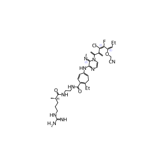 C=C(C(=C)n1ccnc(NC2=CCC(CC)=C(C(=O)NCCNC(=O)[C@H](C)CCCNC(=N)N)C=C2)/c1=N/C)/C(Cl)=C(F)\C(=C/CC)OCC#N